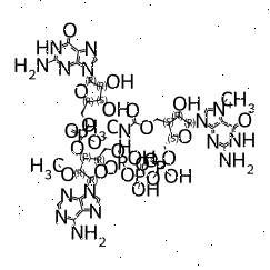 CNC(=O)OC[C@H]1[C@@H](O)[C@H](n2c[n+](C)c3c(=O)[nH]c(N)nc32)O[C@@H]1COP(=O)(O)OP(=O)(O)OP(=O)(O)OC[C@H]1O[C@@H](n2cnc3c(N)ncnc32)[C@H](OC)[C@@H]1OP(=O)([O-])OC[C@H]1O[C@@H](n2cnc3c(=O)[nH]c(N)nc32)[C@H](O)[C@@H]1O